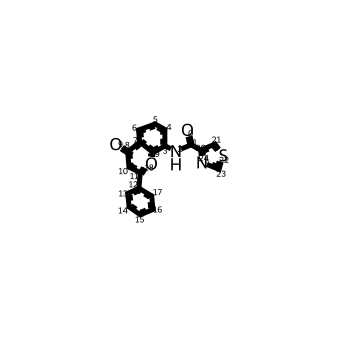 O=C(Nc1cccc2c(=O)cc(-c3ccccc3)oc12)c1cscn1